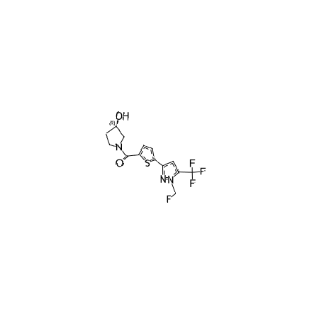 O=C(c1ccc(-c2cc(C(F)(F)F)n(CF)n2)s1)N1CC[C@@H](O)C1